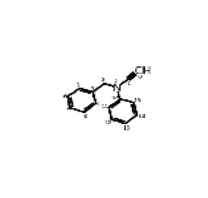 C#CN(Cc1ccccc1)c1ccccc1